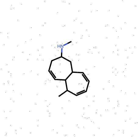 CNC1CC=CC2C(C)C=CC=CC2C1